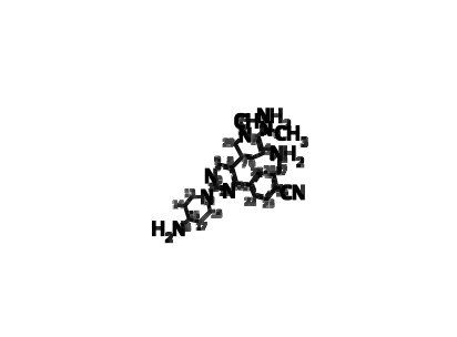 CN(N)C1=C(N)C=C(c2cnc(N3CCC(N)CC3)nc2-c2ccc(C#N)c(F)c2)CN1C